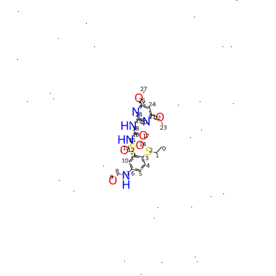 CCSc1ccc(NC=O)cc1S(=O)(=O)NC(=O)Nc1nc(OC)cc(OC)n1